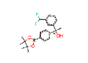 CC1(C)OB(c2ccc([C@@](C)(O)c3cccc(C(F)F)c3)cc2)OC1(C)C